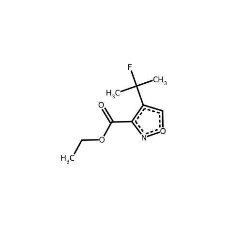 CCOC(=O)c1nocc1C(C)(C)F